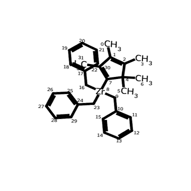 CC1=C(C)C(C)(C)[C]([Zr]([CH2]c2ccccc2)([CH2]c2ccccc2)[CH2]c2ccccc2)=C1C